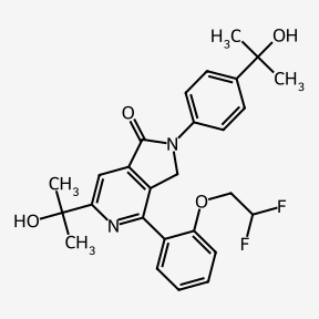 CC(C)(O)c1ccc(N2Cc3c(cc(C(C)(C)O)nc3-c3ccccc3OCC(F)F)C2=O)cc1